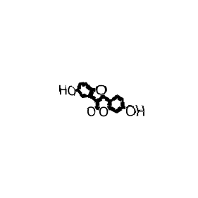 O=c1oc2cc(O)ccc2c2oc3ccc(O)cc3c12